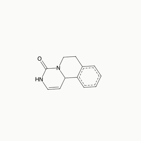 O=C1NC=CC2c3ccccc3CCN12